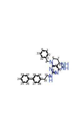 c1ccc(CN2CCC3NNc4nc(NCCc5ccc(-c6ccccc6)cc5)nc2c43)cc1